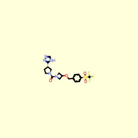 O=C(N1CC(OCc2ccc(S(=O)(=O)C(F)(F)F)cc2)C1)N1CC[C@H](c2nnc[nH]2)C1